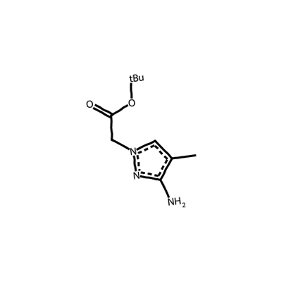 Cc1cn(CC(=O)OC(C)(C)C)nc1N